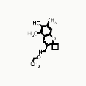 CCO/N=C/C1=Cc2c(cc(C)c(O)c2C)OC12CCC2